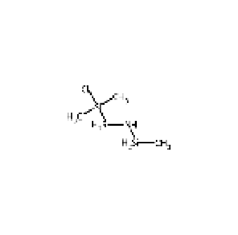 C[SiH2]N[SiH2][Si](C)(C)Cl